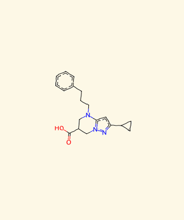 O=C(O)C1CN(CCCc2ccccc2)c2cc(C3CC3)nn2C1